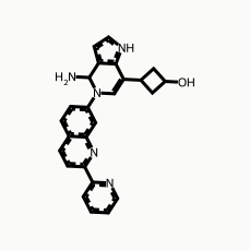 NC1c2cc[nH]c2C(C2CC(O)C2)=CN1c1ccc2ccc(-c3ccccn3)nc2c1